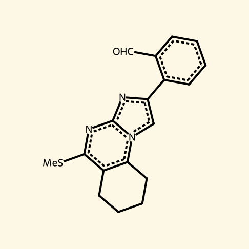 CSc1nc2nc(-c3ccccc3C=O)cn2c2c1CCCC2